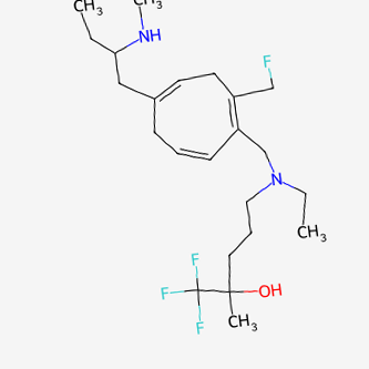 CCC(C/C1=C/C/C(CF)=C(CN(CC)CCCC(C)(O)C(F)(F)F)\C=C/C1)NC